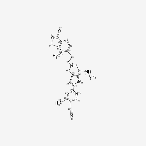 CNCCN(CCc1ccc2c(c1C)COC2=O)Cc1cnn(-c2cc(C)c(C#N)cn2)c1